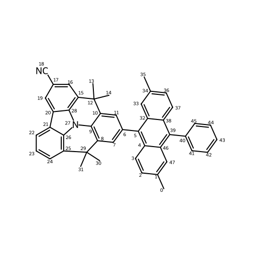 Cc1ccc2c(-c3cc4c5c(c3)C(C)(C)c3cc(C#N)cc6c7cccc(c7n-5c36)C4(C)C)c3cc(C)ccc3c(-c3ccccc3)c2c1